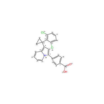 O=C(O)c1ccc(-c2cc(C3(c4c(Cl)cccc4Cl)CC3)c3ccccn23)cc1